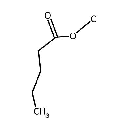 CCCCC(=O)OCl